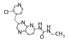 CCNC(=O)Nc1ccc2ncc(Cc3ccncc3Cl)nc2n1